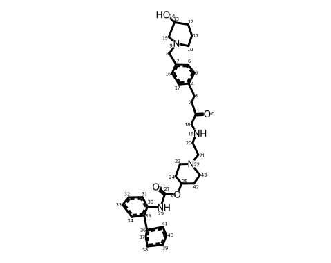 O=C(CCc1ccc(CN2CCCC(O)C2)cc1)CNCCN1CCC(OC(=O)Nc2ccccc2-c2ccccc2)CC1